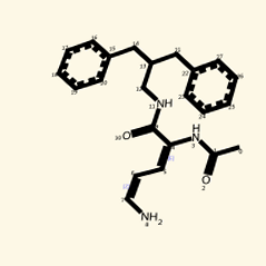 CC(=O)N/C(=C/C=C\N)C(=O)NCC(Cc1ccccc1)Cc1ccccc1